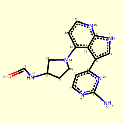 Nc1nccc(-c2c[nH]c3nccc(N4CCC(N[C]=O)C4)c23)n1